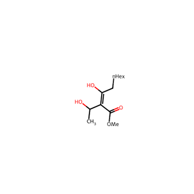 CCCCCCC/C(O)=C(\C(=O)OC)C(C)O